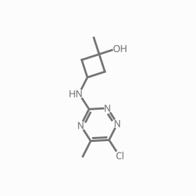 Cc1nc(NC2CC(C)(O)C2)nnc1Cl